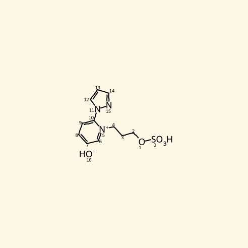 O=S(=O)(O)OCCC[n+]1ccccc1-n1cccn1.[OH-]